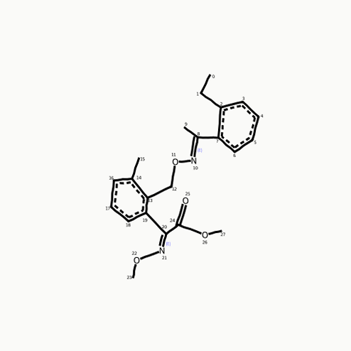 CCc1ccccc1/C(C)=N/OCc1c(C)cccc1/C(=N\OC)C(=O)OC